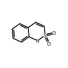 O=S1(=O)C=Cc2ccccc2[N]1